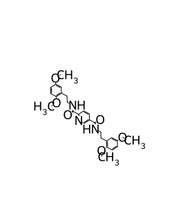 COc1ccc(OC)c(CCNC(=O)c2ccc(C(=O)NCCc3cc(OC)ccc3OC)nc2)c1